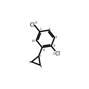 Clc1[c]cc(Cl)c(C2CC2)c1